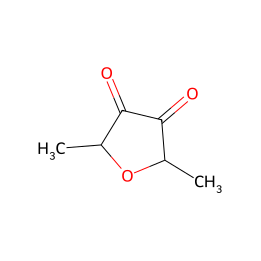 CC1OC(C)C(=O)C1=O